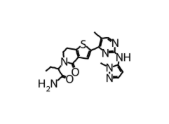 CCC(C(N)=O)N1CCc2sc(-c3nc(Nc4ccnn4C)ncc3C)cc2C1=O